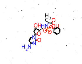 CC(NP(=O)(OC[C@H]1O[C@@H](n2ccc(N)nc2=O)C[C@@H]1O)Oc1ccccc1)C(=O)O